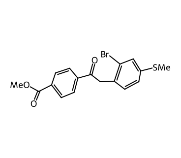 COC(=O)c1ccc(C(=O)Cc2ccc(SC)cc2Br)cc1